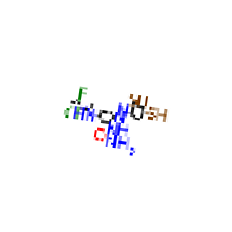 C=C(F)/C(Cl)=C(\C)Nc1ccc(/N=N/c2ccc(S)cc2S)c(NC(N)=O)c1